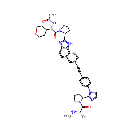 COC(=O)N[C@H](C(=O)N1CCC[C@H]1c1nc2ccc3cc(C#Cc4ccc(-n5ccnc5[C@@H]5CCCN5C(=O)[C@@H](NC(=O)O)C(C)C)cc4)ccc3c2[nH]1)C1CCOCC1